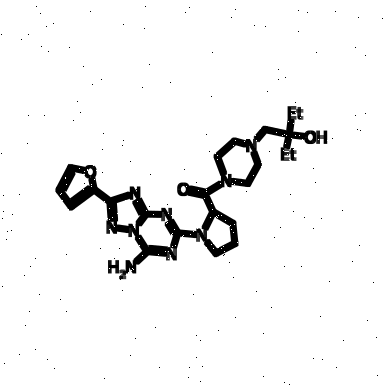 CCC(O)(CC)CN1CCN(C(=O)C2CCCN2c2nc(N)n3nc(-c4ccco4)nc3n2)CC1